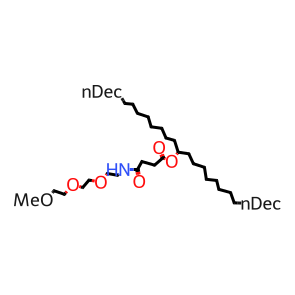 CCCCCCCCCCCCCCCCCCC(CCCCCCCCCCCCCCCCCC)OC(=O)CCC(=O)NCCOCCOCCOC